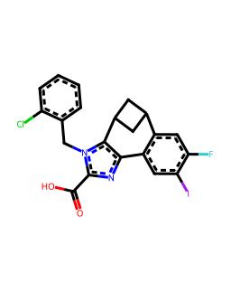 O=C(O)c1nc2c(n1Cc1ccccc1Cl)C1CC(C1)c1cc(F)c(I)cc1-2